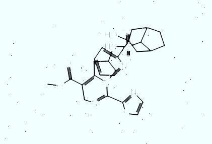 COC(=O)C1=C2CC(NS(=O)(=O)C3C4CCC3CC(O)(c3ccccn3)C4)CN2C(c2nccs2)=NC1